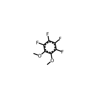 COc1c(F)c(F)c(F)c(F)c1OC